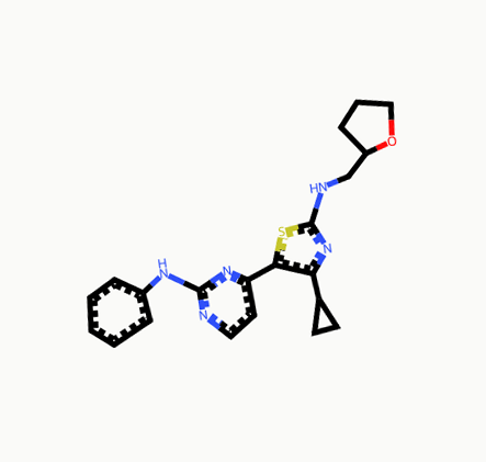 c1ccc(Nc2nccc(-c3sc(NCC4CCCO4)nc3C3CC3)n2)cc1